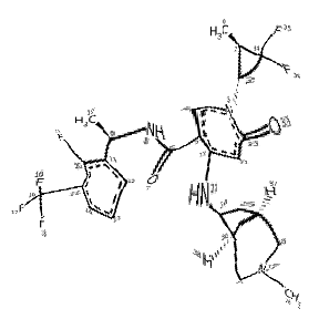 C[C@@H]1[C@@H](n2cc(C(=O)N[C@H](C)c3cccc(C(F)(F)F)c3F)c(NC3[C@H]4CN(C)C[C@@H]34)cc2=O)C1(F)F